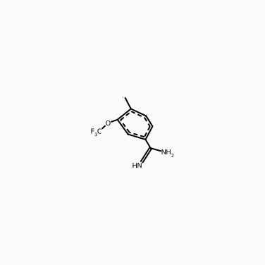 [CH2]c1ccc(C(=N)N)cc1OC(F)(F)F